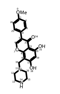 COc1ccc(-c2coc3c(CN4CCNCC4)c(O)cc(O)c3c2=O)cc1